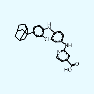 O=C(O)c1ccnc(Nc2ccc(Nc3ccc(C45CC6CC(CC(C6)C4)C5)cc3Cl)cc2)c1